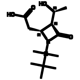 C[C@@H](O)[C@H]1C(=O)N([Si](C)(C)C(C)(C)C)[C@@H]1CC(=O)O